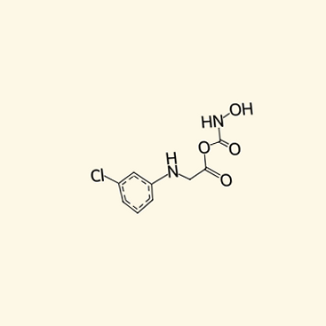 O=C(CNc1cccc(Cl)c1)OC(=O)NO